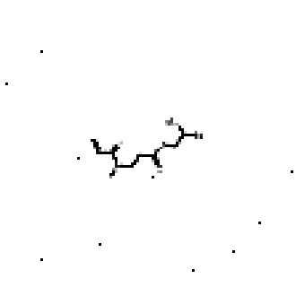 C=CC(=O)N(C)CCC(=O)OCC(CC)CCCC